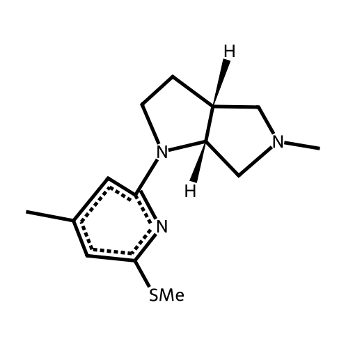 CSc1cc(C)cc(N2CC[C@@H]3CN(C)C[C@@H]32)n1